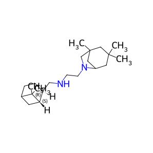 CC1(C)CC2CC(C)(CN2CCNC[C@@H]2CCC3C[C@@H]2C3(C)C)C1